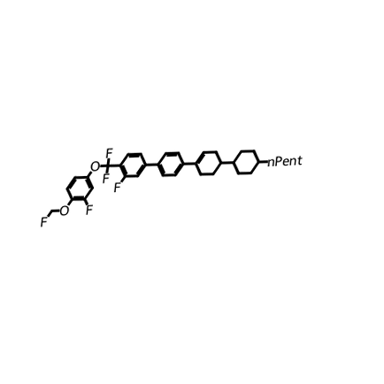 CCCCCC1CCC(C2CC=C(c3ccc(-c4ccc(C(F)(F)Oc5ccc(OCF)c(F)c5)c(F)c4)cc3)CC2)CC1